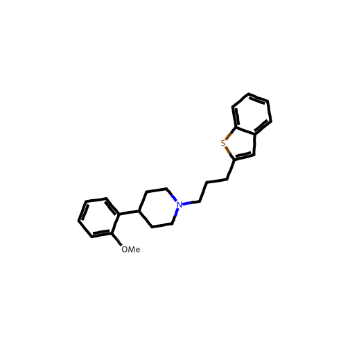 COc1ccccc1C1CCN(CCCc2cc3ccccc3s2)CC1